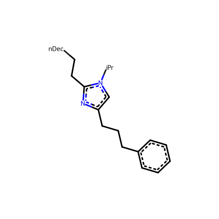 CCCCCCCCCCCCc1nc(CCCc2ccccc2)cn1C(C)C